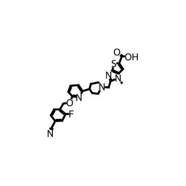 Cn1c(CN2CCC(c3cccc(OCc4ccc(C#N)cc4F)n3)CC2)nc2sc(C(=O)O)cc21